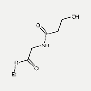 CCOC(=O)CNC(=O)CCO